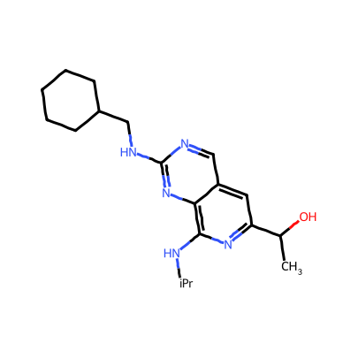 CC(C)Nc1nc(C(C)O)cc2cnc(NCC3CCCCC3)nc12